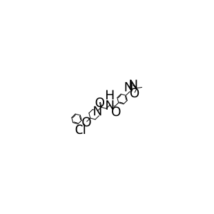 Cc1nnc(-c2ccc(C(=O)NCC(=O)N3CCC(Oc4ccccc4Cl)CC3)cc2)o1